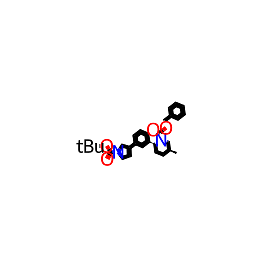 C[C@H]1CC[C@H](c2cccc(C3=CCN(C(=O)OC(C)(C)C)C3)c2)N(C(=O)OCc2ccccc2)C1